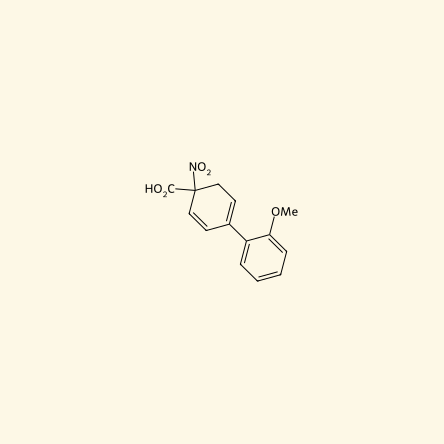 COc1ccccc1C1=CCC(C(=O)O)([N+](=O)[O-])C=C1